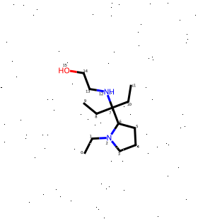 CCN1CCCC1C(CC)(CC)NCCO